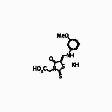 COc1cccc(NC=C2SC(=S)N(CC(=O)O)C2=O)c1.[KH]